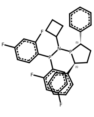 Fc1ccc(P(c2ccc(F)cc2F)N(C2CCC2)P2[C@H](c3ccccc3)CC[C@H]2c2ccccc2)c(F)c1